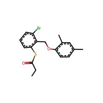 CCC(=O)Sc1cccc(Br)c1COc1ccc(C)cc1C